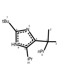 CCCC(C)(C)c1nc(C(C)(C)C)[nH]c1C(C)C